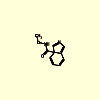 CONC(=O)C12C=CC=CC1=CN=C2